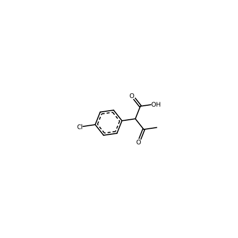 CC(=O)C(C(=O)O)c1ccc(Cl)cc1